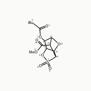 CCC(C)C(=O)OC1C2OS(=O)(=O)C3C2OC1C3C(=O)OC